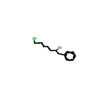 BrCCCCCC(Br)Cc1ccccc1